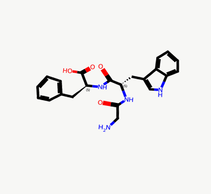 NCC(=O)N[C@@H](Cc1c[nH]c2ccccc12)C(=O)N[C@@H](Cc1ccccc1)C(=O)O